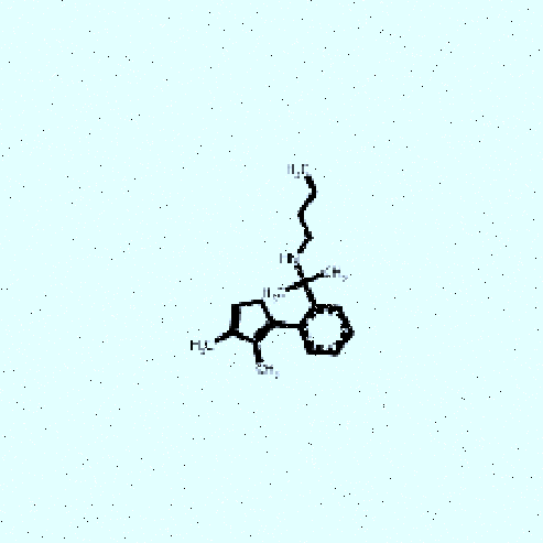 CCCCNC(C)(C)c1ccccc1C1=C(C)C(C)=CC1